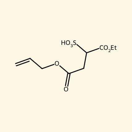 C=CCOC(=O)CC(C(=O)OCC)S(=O)(=O)O